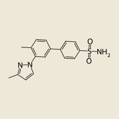 Cc1ccn(-c2cc(-c3ccc(S(N)(=O)=O)cc3)ccc2C)n1